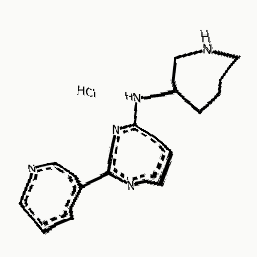 Cl.c1cncc(-c2nccc(NC3CCCNC3)n2)c1